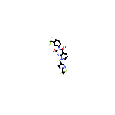 O=c1nc2n(Cc3ccc(C(F)(F)F)nc3)cccc-2c(=O)n1-c1cccc(C(F)(F)F)c1